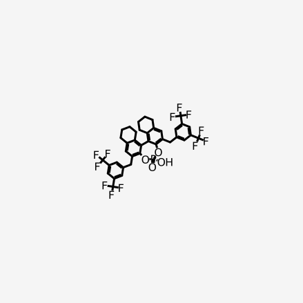 O=P1(O)Oc2c(Cc3cc(C(F)(F)F)cc(C(F)(F)F)c3)cc3c(c2-c2c4c(cc(Cc5cc(C(F)(F)F)cc(C(F)(F)F)c5)c2O1)CCCC4)CCCC3